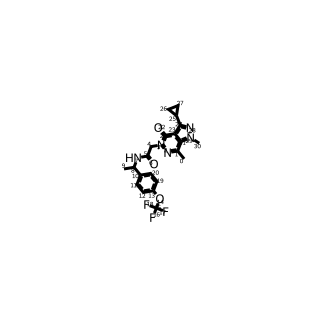 Cc1nn(CC(=O)NC(C)c2ccc(OC(F)(F)F)cc2)c(=O)c2c(C3CC3)nn(C)c12